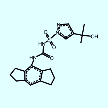 CC(C)(O)c1cnn(S(=O)(=O)NC(=O)Nc2c3c(cc4c2CCC4)CCC3)c1